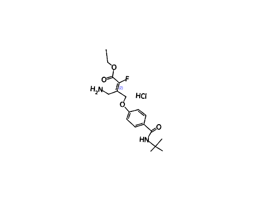 CCOC(=O)/C(F)=C(\CN)COc1ccc(C(=O)NC(C)(C)C)cc1.Cl